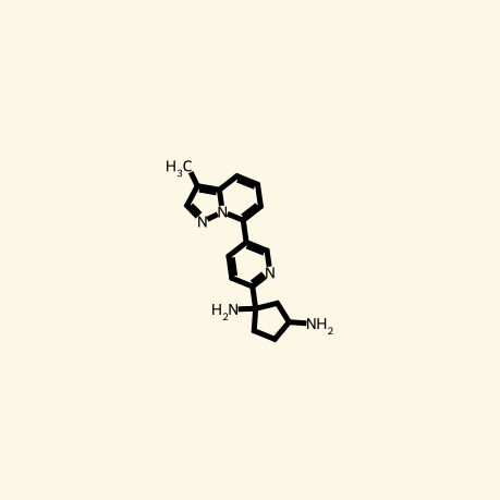 Cc1cnn2c(-c3ccc(C4(N)CCC(N)C4)nc3)cccc12